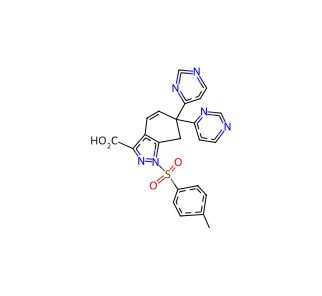 Cc1ccc(S(=O)(=O)n2nc(C(=O)O)c3c2CC(c2ccncn2)(c2ccncn2)C=C3)cc1